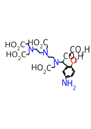 Nc1ccc(OCC(=O)O)c(C(C(=O)O)N(CCN(CCN(CC(=O)O)CC(=O)O)CC(=O)O)CC(=O)O)c1